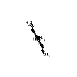 CCOC(=O)CCCCOc1ccc(N=Nc2ccc(NNc3ccc(N=Nc4ccc(OCCCCC(=O)OCC)cc4)cc3C)cc2)cc1